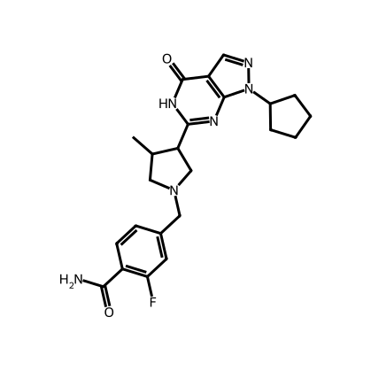 CC1CN(Cc2ccc(C(N)=O)c(F)c2)CC1c1nc2c(cnn2C2CCCC2)c(=O)[nH]1